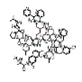 CC(=O)N[C@H](Cc1ccc2ccccc2c1)C(=O)N[C@H](Cc1ccc(Cl)cc1)C(=O)N[C@H](Cc1cccnc1)C(=O)N[C@@H](CO)C(=O)N[C@@H](CCCCNC(=O)c1cccnc1)C(=O)N[C@H](CCCCNC(=O)c1cccnc1)C(=O)N[C@@H](CC(C)C)C(=O)N[C@@H](CCCCNC(C)C)C(=O)N1CCC[C@H]1C(=O)O.C[C@@H](N)C(N)=O